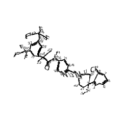 CSC1(c2ccccc2Cl)CCN(c2ccc(N(C)C(=O)C(C)(C)c3cc(C(F)(F)F)cc(C(F)(F)F)c3)cn2)CC1